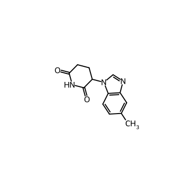 Cc1ccc2c(c1)ncn2C1CCC(=O)NC1=O